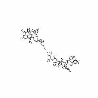 Cn1ncnc1[C@H]1c2n[nH]c(=O)c3cc(F)cc(c23)N[C@@H]1c1ccc(NCCCCCCCNC(=O)c2ccc(N3C(=S)N(c4ccc(C#N)c(C(F)(F)F)c4)C(=O)C3(C)C)cc2F)cc1